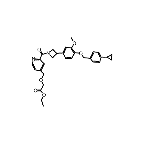 CCOC(=O)COCc1ccnc(C(=O)N2CC(c3ccc(OCc4ccc(C5CC5)cc4)c(OC)c3)C2)c1